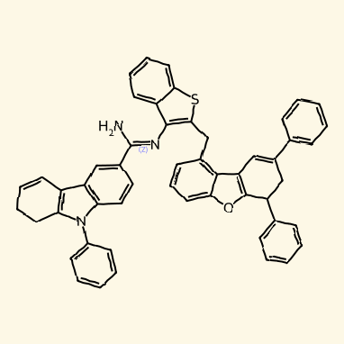 N/C(=N\c1c(Cc2cccc3oc4c(c23)C=C(c2ccccc2)CC4c2ccccc2)sc2ccccc12)c1ccc2c(c1)c1c(n2-c2ccccc2)CCC=C1